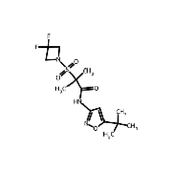 CC(C)(C)c1cc(NC(=O)C(C)(C)S(=O)(=O)N2CC(F)(F)C2)no1